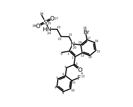 Cc1c(C(=O)Cc2ccccc2F)c2cccc(Br)c2n1CCCNS(C)(=O)=O